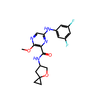 COc1ncc(Nc2cc(F)cc(F)c2)nc1C(=O)NC1COC2(CC2)C1